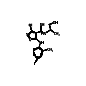 Cc1cc(I)ccc1Nc1snc(O)c1C(=N)NC(C)CO